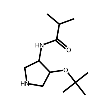 CC(C)C(=O)NC1CNCC1OC(C)(C)C